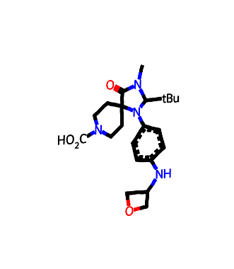 CN1C(=O)C2(CCN(C(=O)O)CC2)N(c2ccc(NC3COC3)cc2)C1C(C)(C)C